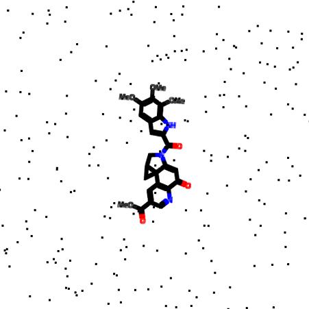 COC(=O)c1cnc2c(c1)C13CC1CN(C(=O)c1cc4cc(OC)c(OC)c(OC)c4[nH]1)C3=CC2=O